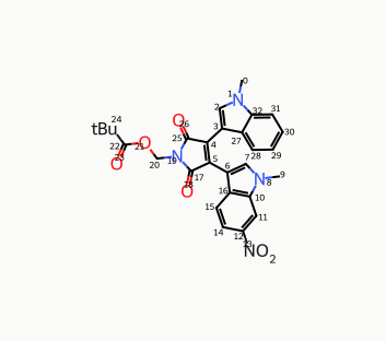 Cn1cc(C2=C(c3cn(C)c4cc([N+](=O)[O-])ccc34)C(=O)N(COC(=O)C(C)(C)C)C2=O)c2ccccc21